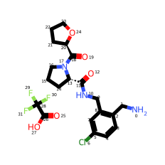 NCc1ccc(Cl)cc1CNC(=O)[C@@H]1CCCN1C(=O)[C@H]1CCCO1.O=C(O)C(F)(F)F